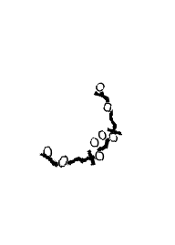 CC(C)(CCCOCC1CO1)OC(=O)CC(=O)OC(C)(C)CCCOCC1CO1